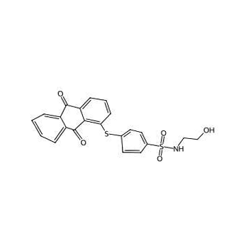 O=C1c2ccccc2C(=O)c2c(Sc3ccc(S(=O)(=O)NCCO)cc3)cccc21